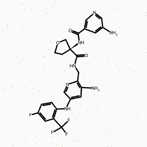 Nc1cncc(C(=O)N[C@@]2(C(=O)NCc3ncc(Nc4ccc(F)cc4C(F)(F)F)cc3N)CCOC2)c1